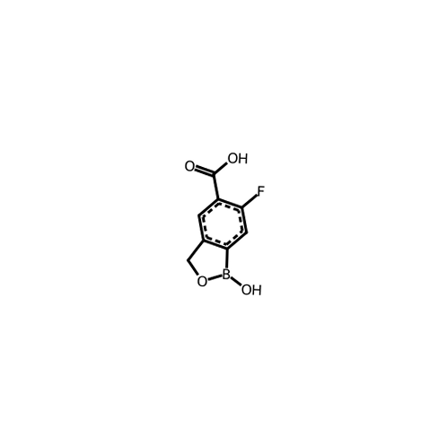 O=C(O)c1cc2c(cc1F)B(O)OC2